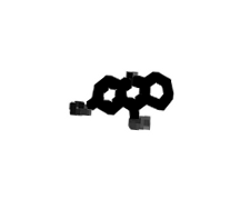 CC(C)(C)c1ccc2nc3c(c(O)c2c1)CCCC3